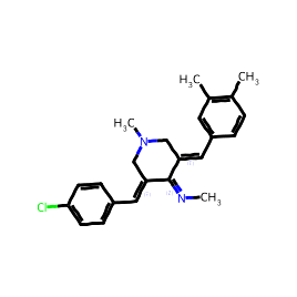 C/N=C1C(=C/c2ccc(Cl)cc2)/CN(C)CC/1=C\c1ccc(C)c(C)c1